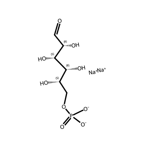 O=C[C@H](O)[C@@H](O)[C@H](O)[C@@H](O)COP(=O)([O-])[O-].[Na+].[Na+]